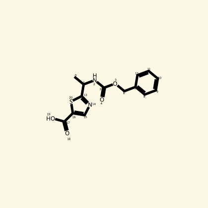 CC(NC(=O)OCc1ccccc1)c1ncc(C(=O)O)s1